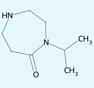 CC(C)N1CCNCCC1=O